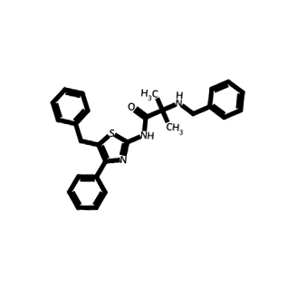 CC(C)(NCc1ccccc1)C(=O)Nc1nc(-c2ccccc2)c(Cc2ccccc2)s1